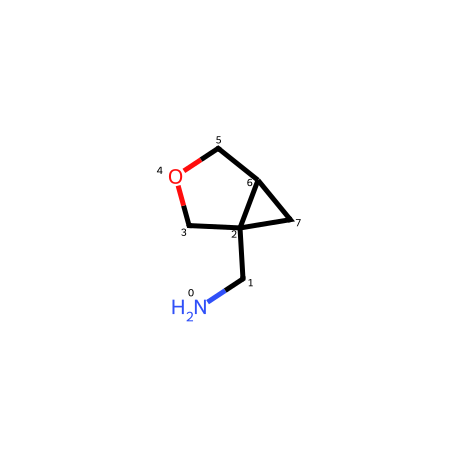 NCC12COCC1C2